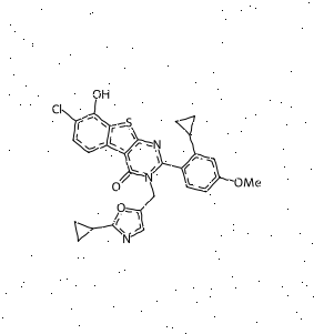 COc1ccc(-c2nc3sc4c(O)c(Cl)ccc4c3c(=O)n2Cc2cnc(C3CC3)o2)c(C2CC2)c1